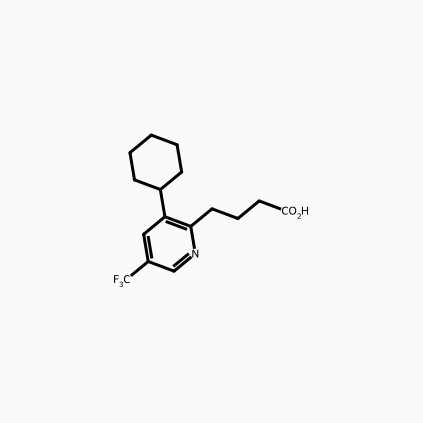 O=C(O)CCCc1ncc(C(F)(F)F)cc1C1CCCCC1